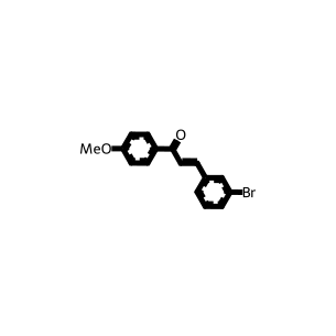 COc1ccc(C(=O)C=Cc2cccc(Br)c2)cc1